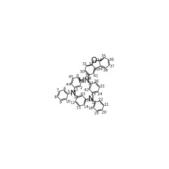 c1ccc(N(c2ccccc2)c2cccc(N(c3ccccc3)c3cccc(Nc4ccc5oc6ccccc6c5c4)c3)c2)cc1